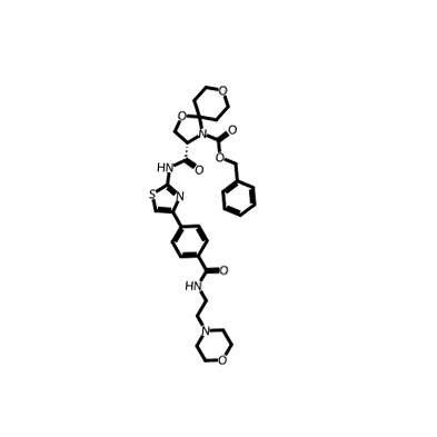 O=C(NCCN1CCOCC1)c1ccc(-c2csc(NC(=O)[C@@H]3COC4(CCOCC4)N3C(=O)OCc3ccccc3)n2)cc1